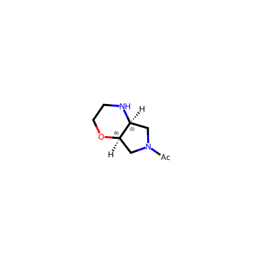 CC(=O)N1C[C@@H]2NCCO[C@@H]2C1